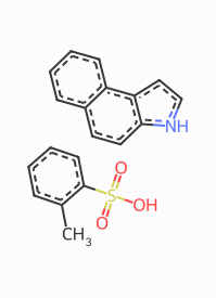 Cc1ccccc1S(=O)(=O)O.c1ccc2c(c1)ccc1[nH]ccc12